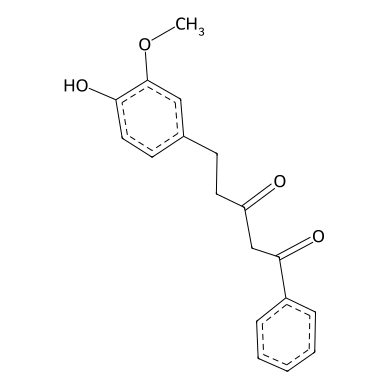 COc1cc(CCC(=O)CC(=O)c2ccccc2)ccc1O